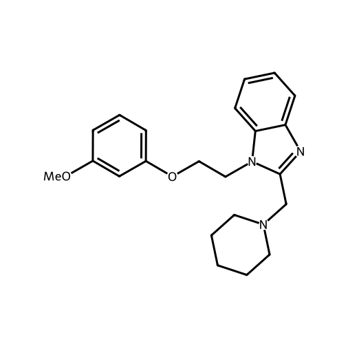 COc1cccc(OCCn2c(CN3CCCCC3)nc3ccccc32)c1